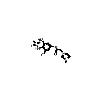 C[n+]1ccn(CC(=O)Nc2cc(O)c(NS(C)(=O)=O)c(Cl)c2)c1